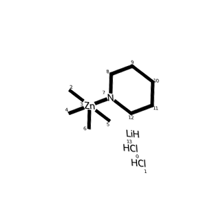 Cl.Cl.[CH3][Zn]([CH3])([CH3])([CH3])[N]1CCCCC1.[LiH]